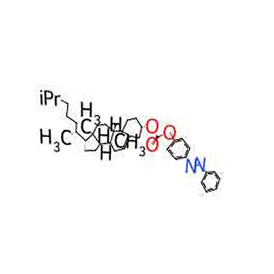 CC(C)CCC[C@@H](C)[C@H]1CC[C@H]2[C@@H]3CC=C4C[C@@H](OC(=O)Oc5ccc(/N=N/c6ccccc6)cc5)CC[C@]4(C)[C@H]3CC[C@]12C